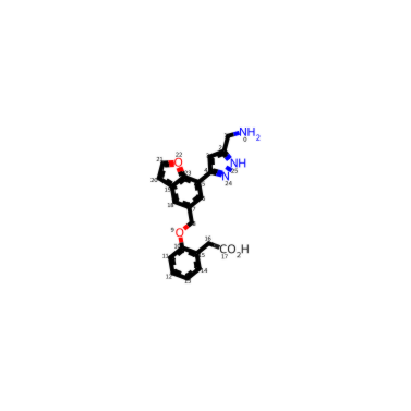 NCc1cc(-c2cc(COc3ccccc3CC(=O)O)cc3ccoc23)n[nH]1